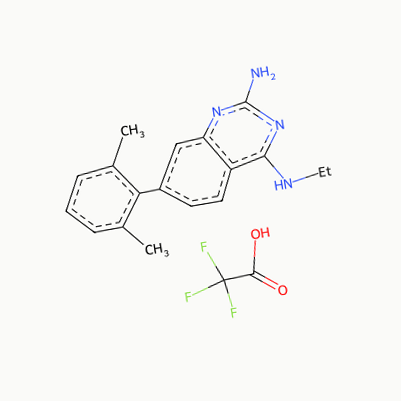 CCNc1nc(N)nc2cc(-c3c(C)cccc3C)ccc12.O=C(O)C(F)(F)F